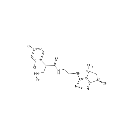 CC(C)NCC(C(=O)NCCNc1ncnc2c1[C@H](C)C[C@H]2O)c1ccc(Cl)cc1Cl